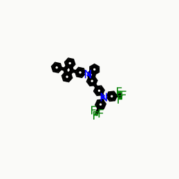 FC(F)(F)c1ccc(N(c2ccc(-c3ccc4c(c3)c3ccccc3n4-c3ccc(-c4c5ccccc5c(-c5ccccc5)c5ccccc45)cc3)cc2)c2ccc(C(F)(F)F)cc2)cc1